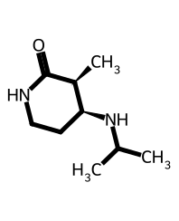 CC(C)N[C@H]1CCNC(=O)[C@H]1C